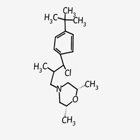 CC(CN1C[C@@H](C)O[C@@H](C)C1)C(Cl)c1ccc(C(C)(C)C)cc1